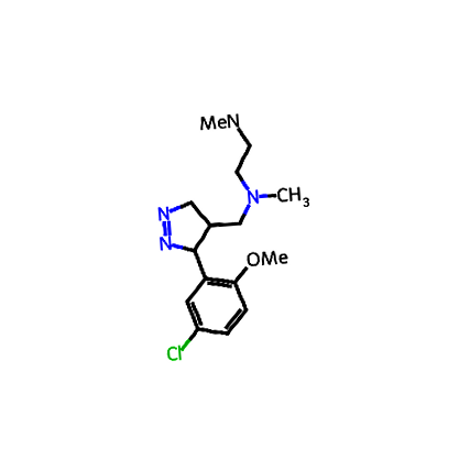 CNCCN(C)CC1CN=NC1c1cc(Cl)ccc1OC